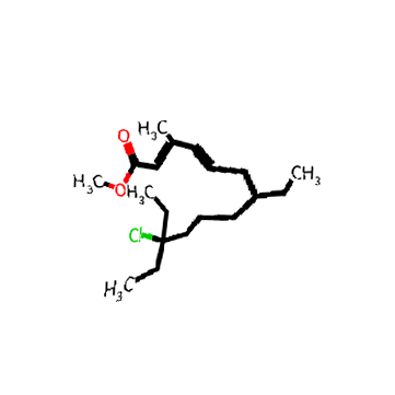 CCC(CC=CC(C)=CC(=O)OC)CCCC(Cl)(CC)CC